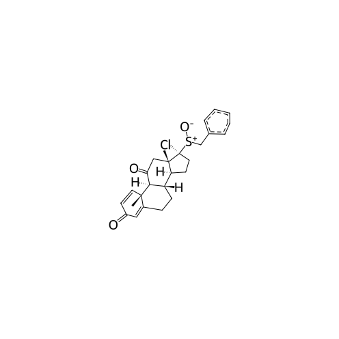 C[C@]12C=CC(=O)C=C1CC[C@@H]1[C@@H]2C(=O)C[C@@]2(C)[C@H]1CC[C@]2(Cl)[S+]([O-])Cc1ccccc1